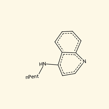 CCCCCNc1ccnc2ccccc12